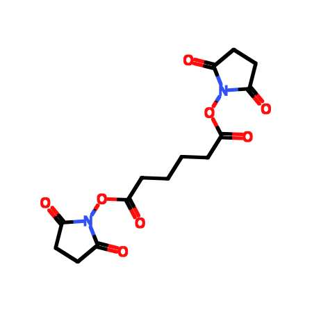 O=C(CCCCC(=O)ON1C(=O)CCC1=O)ON1C(=O)CCC1=O